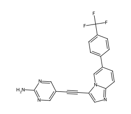 Nc1ncc(C#Cc2cnc3ccc(-c4ccc(C(F)(F)F)cc4)cn23)cn1